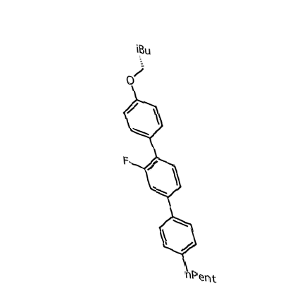 CCCCCc1ccc(-c2ccc(-c3ccc(OC[C@@H](C)CC)cc3)c(F)c2)cc1